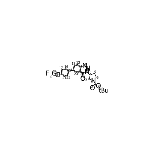 CC(C)(C)OC(=O)N1CCC(n2nnc3ccc(-c4ccc(OC(F)(F)F)cc4)cc3c2=O)C1